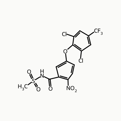 CS(=O)(=O)NC(=O)c1cc(Oc2c(Cl)cc(C(F)(F)F)cc2Cl)ccc1[N+](=O)[O-]